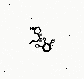 CCC[C@H](Oc1c(Cl)cccc1Cl)[C@H]1CCNC1